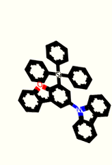 c1ccc([Si](c2ccccc2)(c2ccccc2)c2cc(-n3c4ccccc4c4ccccc43)cc3c2oc2ccccc23)cc1